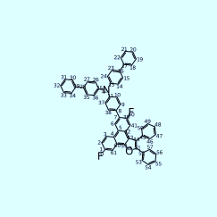 Fc1ccc2c3cc(-c4ccc(N(c5ccc(-c6ccccc6)cc5)c5ccc(-c6ccccc6)cc5)cc4)c(F)cc3c3c(-c4ccccc4)c(-c4ccccc4)oc3c2c1